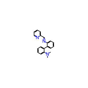 CN(C)c1ccccc1-c1ccccc1/N=C/c1ccccn1